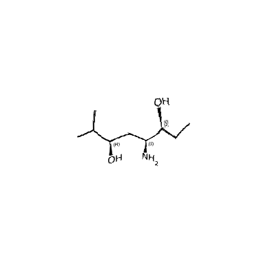 CC[C@H](O)[C@@H](N)C[C@@H](O)C(C)C